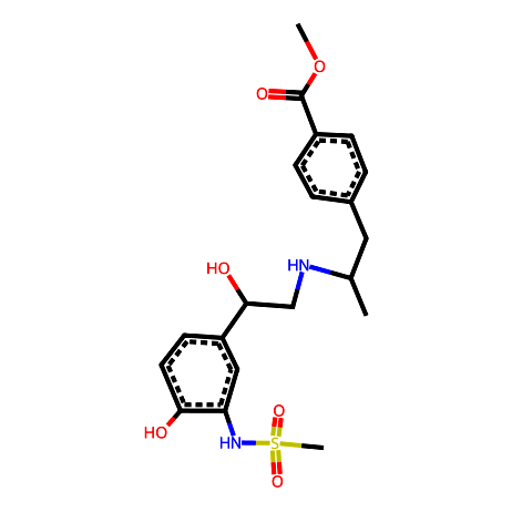 COC(=O)c1ccc(CC(C)NCC(O)c2ccc(O)c(NS(C)(=O)=O)c2)cc1